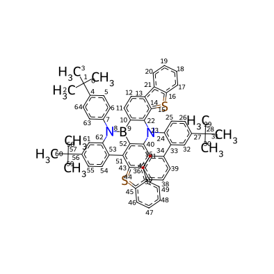 CC(C)(C)c1ccc(N2B3c4ccc5c(sc6ccccc65)c4N(c4ccc(C(C)(C)C)cc4-c4ccccc4)c4cc5c(sc6ccccc65)c(c43)-c3ccc(C(C)(C)C)cc32)cc1